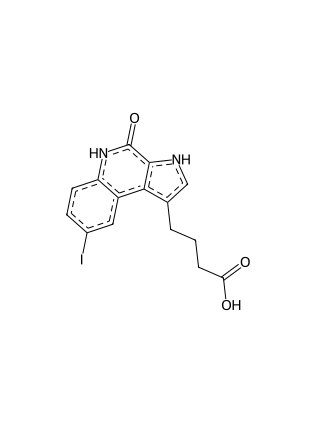 O=C(O)CCCc1c[nH]c2c(=O)[nH]c3ccc(I)cc3c12